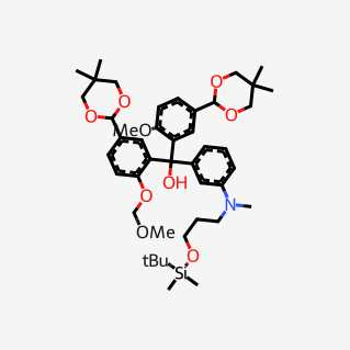 COCOc1ccc(C2OCC(C)(C)CO2)cc1C(O)(c1cccc(N(C)CCCO[Si](C)(C)C(C)(C)C)c1)c1cc(C2OCC(C)(C)CO2)ccc1OC